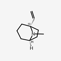 C=C[C@]12CCC[C@H](CC1)N2C